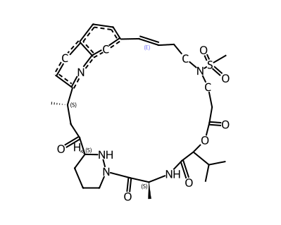 CC(C)C1OC(=O)CCN(S(C)(=O)=O)CC/C=C/c2ccc3ccc(nc3c2)[C@@H](C)CC(=O)[C@@H]2CCCN(N2)C(=O)[C@H](C)NC1=O